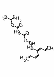 BC(B)OC(=O)BC(=O)OBBC(/C=C\C=C)=C/C=C